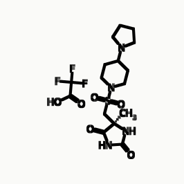 C[C@]1(CS(=O)(=O)N2CCC(N3CCCC3)CC2)NC(=O)NC1=O.O=C(O)C(F)(F)F